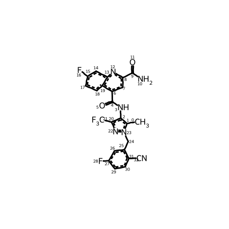 Cc1c(NC(=O)c2cc(C(N)=O)nc3cc(F)ccc23)c(C(F)(F)F)nn1Cc1cc(F)ccc1C#N